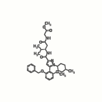 COC(=O)CNC(=O)CC(NC(=O)c1cc(-c2c(OC)cccc2OCc2ccccc2)n(C2CCC(C)CC2)n1)C(C)C